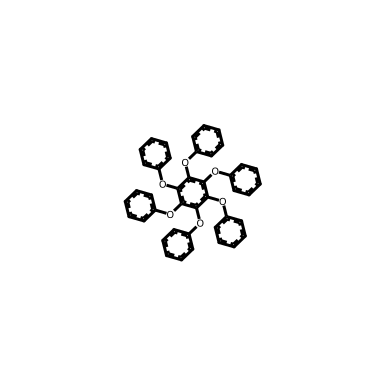 c1ccc(Oc2c(Oc3ccccc3)c(Oc3ccccc3)c(Oc3ccccc3)c(Oc3ccccc3)c2Oc2ccccc2)cc1